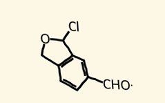 O=[C]c1ccc2c(c1)C(Cl)OC2